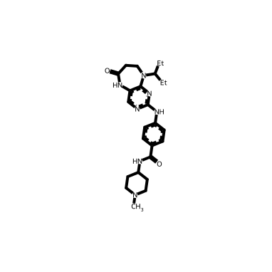 CCC(CC)N1CCC(=O)Nc2cnc(Nc3ccc(C(=O)NC4CCN(C)CC4)cc3)nc21